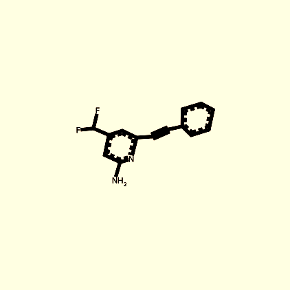 Nc1cc(C(F)F)cc(C#Cc2ccccc2)n1